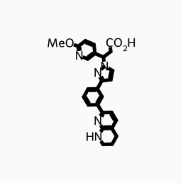 COc1ccc(C(CC(=O)O)n2ccc(-c3cccc(-c4ccc5c(n4)NCCC5)c3)n2)cn1